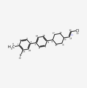 Cc1ccc(-c2ccc(C3CCC(/C=C/Cl)CC3)cc2)cc1F